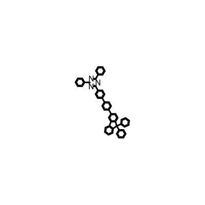 c1ccc(-c2nc(-c3ccccc3)nc(-c3ccc(-c4ccc(-c5ccc6c(c5)-c5ccccc5C6(c5ccccc5)c5ccccc5)cc4)cc3)n2)cc1